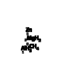 C.[AlH3].[MgH2].[Zn]